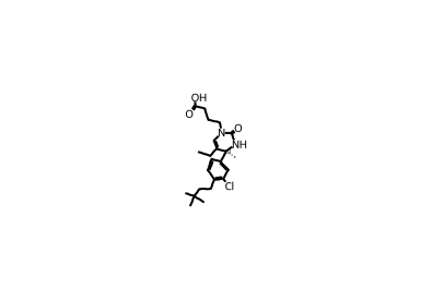 CCC1=CN(CCCC(=O)O)C(=O)N[C@@]1(C)c1ccc(CCC(C)(C)C)c(Cl)c1